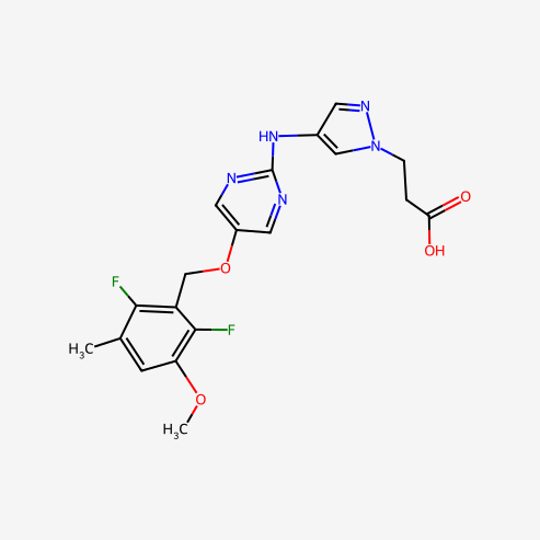 COc1cc(C)c(F)c(COc2cnc(Nc3cnn(CCC(=O)O)c3)nc2)c1F